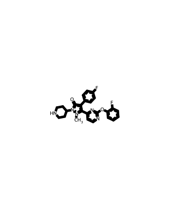 Cn1c(-c2ccnc(Oc3ccccc3F)n2)c(-c2ccc(F)cc2)c(=O)n1C1CCNCC1